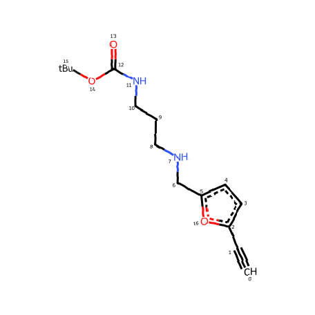 C#Cc1ccc(CNCCCNC(=O)OC(C)(C)C)o1